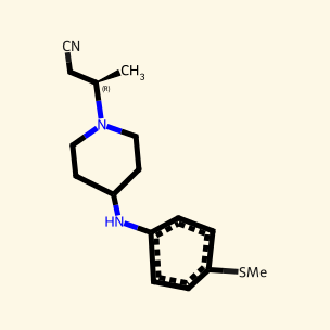 CSc1ccc(NC2CCN([C@H](C)CC#N)CC2)cc1